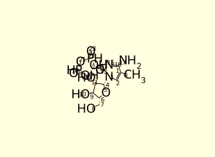 Cc1cn([C@@H]2O[C@H](CO)[C@@H](O)[C@H]2O)c(=O)nc1N.O=[PH](O)O[PH](=O)O